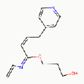 C=C/N=C(\C=C/Cc1ccncc1)OCCCO